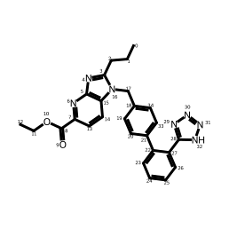 CCCc1nc2nc(C(=O)OCC)ccc2n1Cc1ccc(-c2ccccc2-c2nnn[nH]2)cc1